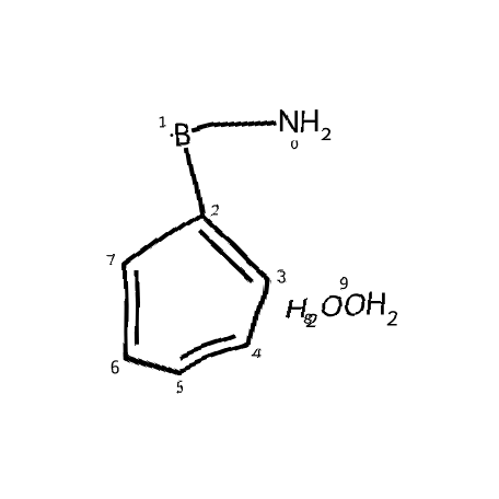 N[B]c1ccccc1.O.O